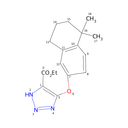 CCOC(=O)c1[nH]nnc1Oc1ccc2c(c1)CCCC2(C)C